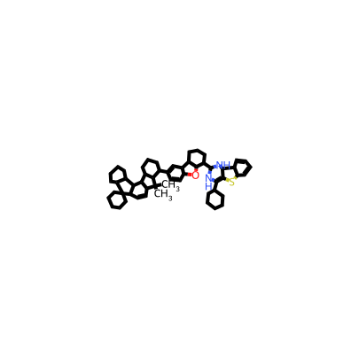 CC1(C)C2C=CC3C(C4CCCCC4C34CCCCC4)C2C2CCCC(C3=CC4C(C=C3)OC3C(C5NC(C6CCCCC6)=C6SC7C=CC=CC7C6N5)CCCC43)C21